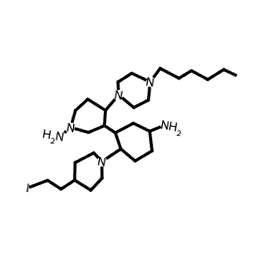 CCCCCCN1CCN(C2CCN(N)CC2C2CC(N)CCC2N2CCC(CCI)CC2)CC1